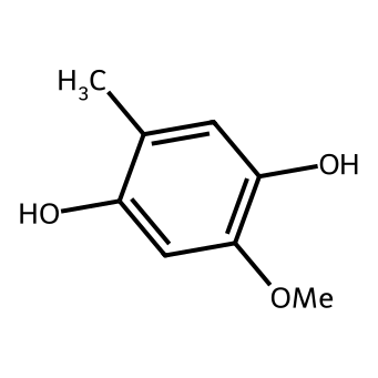 COc1cc(O)c(C)cc1O